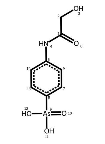 O=C(CO)Nc1ccc([As](=O)(O)O)cc1